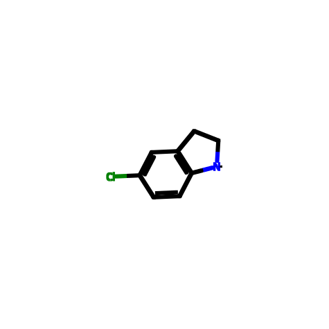 Clc1ccc2c(c1)CC[N]2